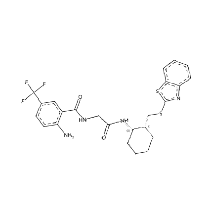 Nc1ccc(C(F)(F)F)cc1C(=O)NCC(=O)N[C@H]1CCCC[C@H]1CSc1nc2ccccc2s1